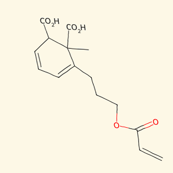 C=CC(=O)OCCCC1=CC=CC(C(=O)O)C1(C)C(=O)O